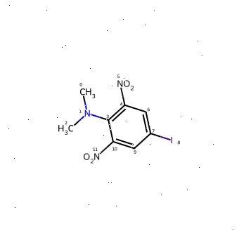 CN(C)c1c([N+](=O)[O-])cc(I)cc1[N+](=O)[O-]